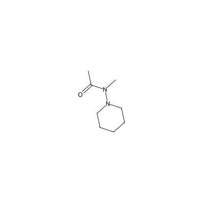 CC(=O)N(C)N1CCCCC1